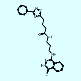 O=C(CCCc1nc(-c2ccccc2)no1)NCCCNc1n[nH]c(=O)c2ccccc12